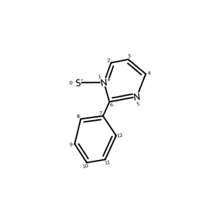 [S-][n+]1cccnc1-c1ccccc1